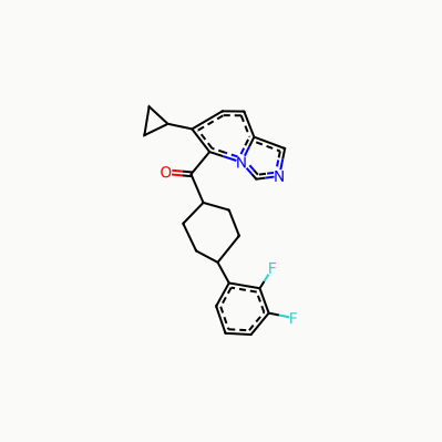 O=C(c1c(C2CC2)ccc2cncn12)C1CCC(c2cccc(F)c2F)CC1